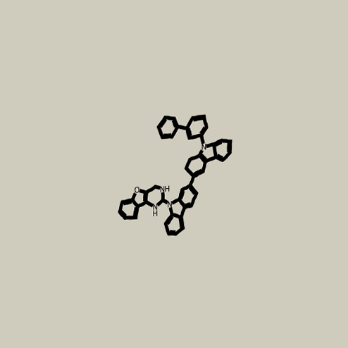 C1=C(c2ccc3c4ccccc4n(C4NCc5oc6ccccc6c5N4)c3c2)CCc2c1c1ccccc1n2-c1cccc(-c2ccccc2)c1